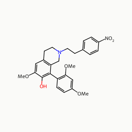 COc1ccc(-c2c(O)c(OC)cc3c2CN(CCc2ccc([N+](=O)[O-])cc2)CC3)c(OC)c1